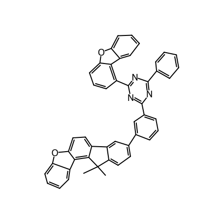 CC1(C)c2ccc(-c3cccc(-c4nc(-c5ccccc5)nc(-c5cccc6oc7ccccc7c56)n4)c3)cc2-c2ccc3oc4ccccc4c3c21